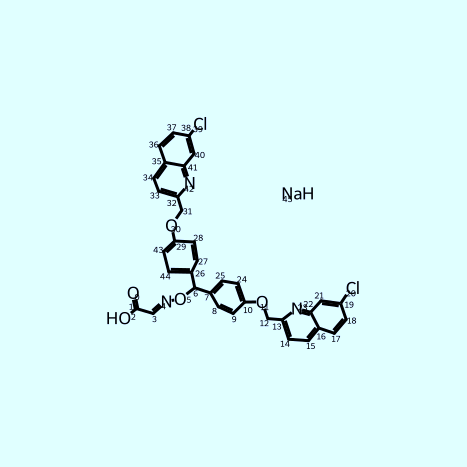 O=C(O)C=NOC(c1ccc(OCc2ccc3ccc(Cl)cc3n2)cc1)c1ccc(OCc2ccc3ccc(Cl)cc3n2)cc1.[NaH]